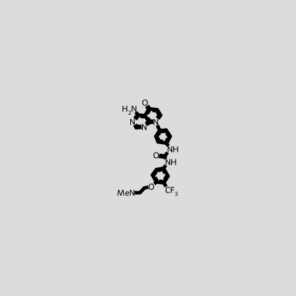 CNCCOc1ccc(NC(=O)Nc2ccc(-n3ccc(=O)c4c(N)ncnc43)cc2)cc1C(F)(F)F